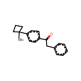 CC(C)(C)C1(c2ccc(C(=O)Cc3ccccc3)cc2)CCC1